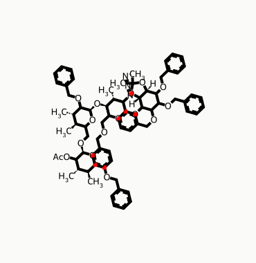 CC(=O)OC1[C@@H](OCC2O[C@H](O[C@@H]3C(COCc4ccccc4)O[C@H](OC4C(OCc5ccccc5)C(OCc5ccccc5)C(OCc5ccccc5)[C@@H]5OC(C)(C)O[C@@H]45)C(N=[N+]=[N-])[C@H]3C)C(OCc3ccccc3)[C@@H](C)[C@@H]2C)OC(COCc2ccccc2)[C@@H](C)[C@@H]1C